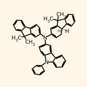 CC1(C)C2=CC(N(c3ccc4c(c3)C(C)(C)c3ccccc3-4)c3ccc4c(c3)c3ccccc3n4-c3ccccc3)=CC[C@@H]2c2ccccc21